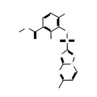 COC(=O)c1ccc(Cl)c(NS(=O)(=O)c2nc3nc(C)ccn3n2)c1Cl